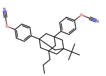 CCCC12CC3(c4ccc(OC#N)cc4)CC(c4ccc(OC#N)cc4)(C1)CC(C(C)(C)C)(C2)C3